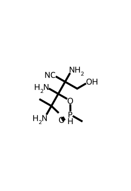 C[PH](=O)OC(N)(C(C)(C)N)C(N)(C#N)CO